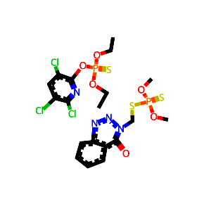 CCOP(=S)(OCC)Oc1nc(Cl)c(Cl)cc1Cl.COP(=S)(OC)SCn1nnc2ccccc2c1=O